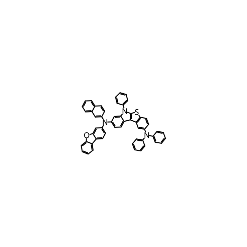 c1ccc(N(c2ccccc2)c2ccc3sc4c(c3c2)c2ccc(N(c3ccc5ccccc5c3)c3ccc5c(c3)oc3ccccc35)cc2n4-c2ccccc2)cc1